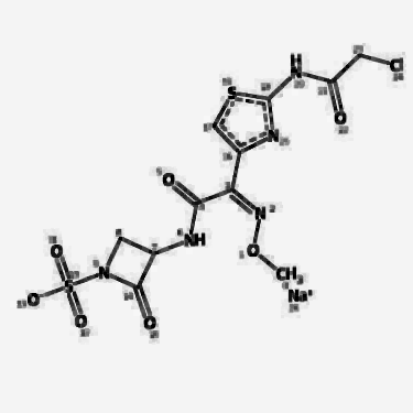 CON=C(C(=O)NC1CN(S(=O)(=O)[O-])C1=O)c1csc(NC(=O)CCl)n1.[Na+]